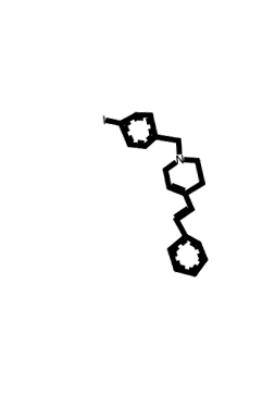 Ic1ccc(CN2CC=C(C=Cc3ccccc3)CC2)cc1